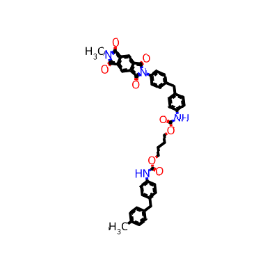 Cc1ccc(Cc2ccc(NC(=O)OCCCCOC(=O)Nc3ccc(Cc4ccc(-n5c(=O)c6cc7c(=O)n(C)c(=O)c7cc6c5=O)cc4)cc3)cc2)cc1